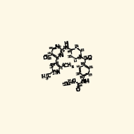 Cc1nc(C)c(-c2nc(NC3CCN(C(=O)c4ccc(NC(=O)OC(C)(C)C)cc4)CC3)ncc2Cl)s1